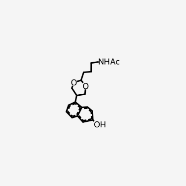 CC(=O)NCCCC1OCC(c2cccc3cc(O)ccc23)CO1